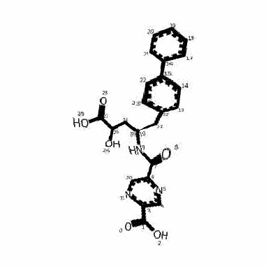 O=C(O)c1cnc(C(=O)N[C@H](Cc2ccc(-c3ccccc3)cc2)CC(O)C(=O)O)cn1